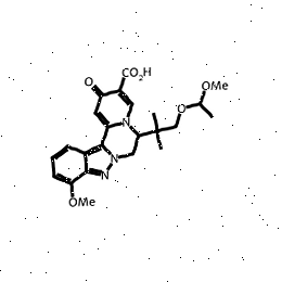 COc1cccc2c3n(nc12)CC(C(C)(C)COC(C)OC)n1cc(C(=O)O)c(=O)cc1-3